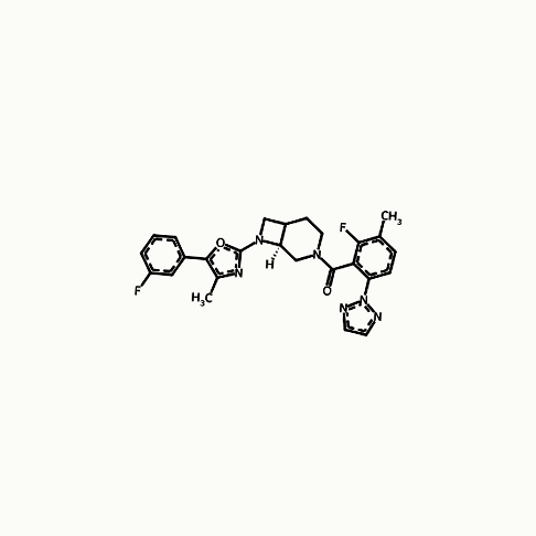 Cc1ccc(-n2nccn2)c(C(=O)N2CCC3CN(c4nc(C)c(-c5cccc(F)c5)o4)[C@@H]3C2)c1F